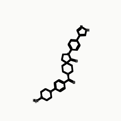 CN1CCN(c2ccc(C(=O)N3CCC4(CC3)CCN(c3ccc(-c5cn[nH]c5)cc3)C4=O)cc2)CC1